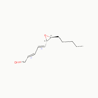 CCCCC[C@@H]1O[C@H]1/C=C/C=C/C=O